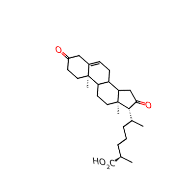 CC(CCC[C@@H](C)C(=O)O)[C@H]1C(=O)CC2C3CC=C4CC(=O)CC[C@]4(C)C3CC[C@@]21C